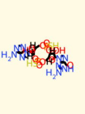 Nc1nc2c(ncn2[C@@H]2O[C@@H]3CO[P@](=O)(S)O[C@@H]4[C@H](O)[C@@H](CO[P@@](=O)(S)O[C@H]3[C@H]2O)O[C@H]4n2cnc3c(N)ncnc32)c(=O)[nH]1